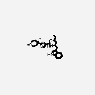 CCCCC(Cc1c[nH]c2ccccc12)NC(O)c1cnc(C2(F)CCN(C)CC2)s1